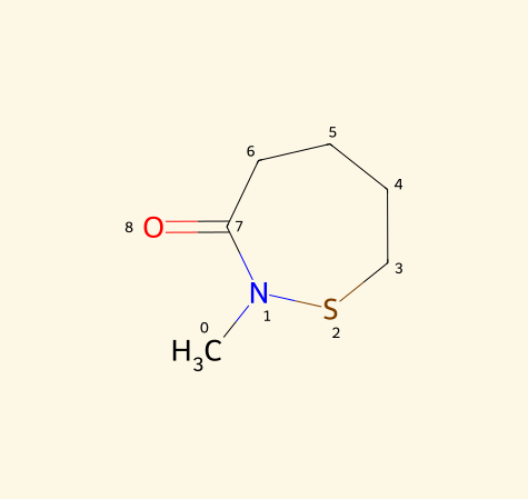 CN1SCCCCC1=O